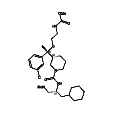 CNC[C@@H](CC1CCCCC1)NC(=O)N1CCC[C@@H]([C@@](C)(OCCNC(=O)OC)c2cccc(Cl)c2)C1